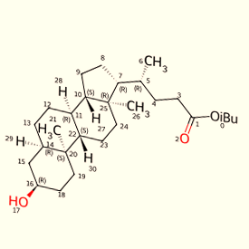 CC(C)COC(=O)CC[C@@H](C)[C@H]1CC[C@H]2[C@@H]3CC[C@@H]4C[C@H](O)CC[C@]4(C)[C@H]3CC[C@]12C